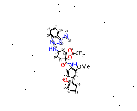 COc1cc2c(cc1NC(=O)C1(OC(=O)C(F)(F)F)CCC(Nc3nc(N(C)C)c4ccccc4n3)CC1)oc1ccccc12